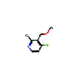 CC(C)OCc1c(F)ccnc1Cl